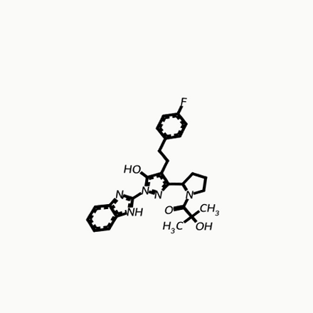 CC(C)(O)C(=O)N1CCCC1c1nn(-c2nc3ccccc3[nH]2)c(O)c1CCc1ccc(F)cc1